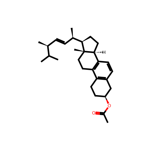 CC(=O)O[C@H]1CCc2c(ccc3c2CC[C@]2(C)[C@@H]([C@H](C)/C=C/[C@H](C)C(C)C)CC[C@@H]32)C1